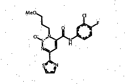 COCCCN1C(C(=O)Nc2ccc(F)c(Cl)c2)=CC(c2nccs2)=N[S+]1[O-]